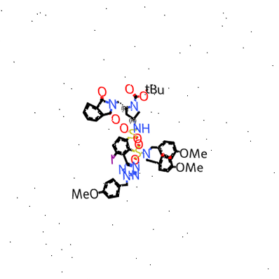 COc1ccc(CN(Cc2ccc(OC)cc2)S(=O)(=O)c2c(S(=O)(=O)N[C@@H]3C[C@H](CN4C(=O)c5ccccc5C4=O)N(C(=O)OC(C)(C)C)C3)ccc(I)c2-c2nnn(Cc3ccc(OC)cc3)n2)cc1